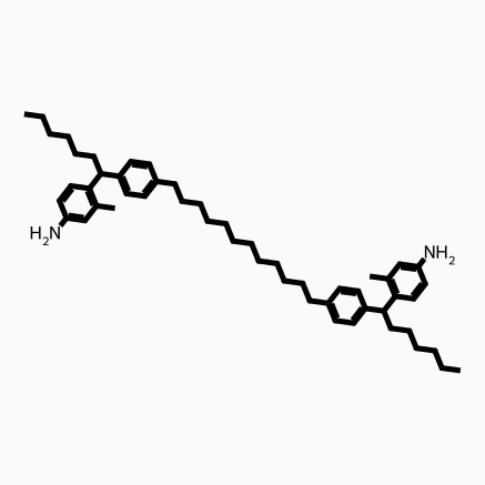 CCCCCCC(c1ccc(CCCCCCCCCCCCc2ccc(C(CCCCCC)c3ccc(N)cc3C)cc2)cc1)c1ccc(N)cc1C